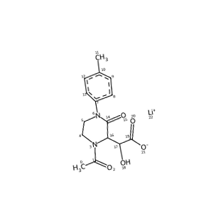 CC(=O)N1CCN(c2ccc(C)cc2)C(=O)C1C(O)C(=O)[O-].[Li+]